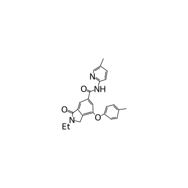 CCN1Cc2c(Oc3ccc(C)cc3)cc(C(=O)Nc3ccc(C)cn3)cc2C1=O